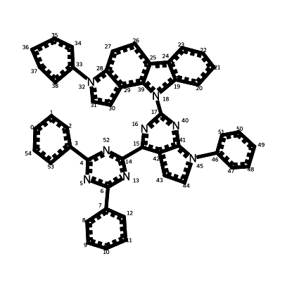 c1ccc(-c2nc(-c3ccccc3)nc(-c3nc(-n4c5ccccc5c5ccc6c(ccn6-c6ccccc6)c54)nc4c3ccn4-c3ccccc3)n2)cc1